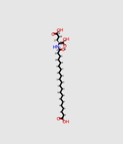 O=C(O)CCCCCCCCCCCCCCCCCCCCC(=O)N[C@@H](CCC(=O)O)C(=O)O